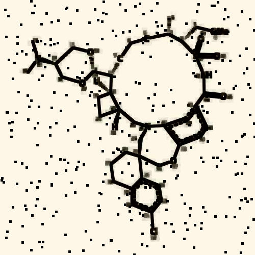 COC[C@H]1[C@@H](C)CCC[C@@H]([C@H]2OC[C@H](N(C)C)CO2)[C@@H]2CC[C@H]2CN2C[C@@]3(CCCc4cc(Cl)ccc43)COc3ccc(cc32)C(=O)NS1(=O)=O